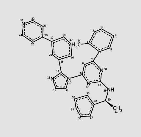 Cc1ccccc1-c1cc(-n2ccnc2-c2cccc(-c3ccncc3)c2)nc(N[C@@H](C)c2ccccc2)n1